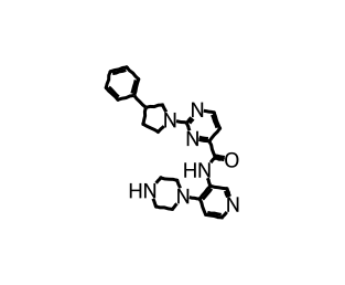 O=C(Nc1cnccc1N1CCNCC1)c1ccnc(N2CCC(c3ccccc3)C2)n1